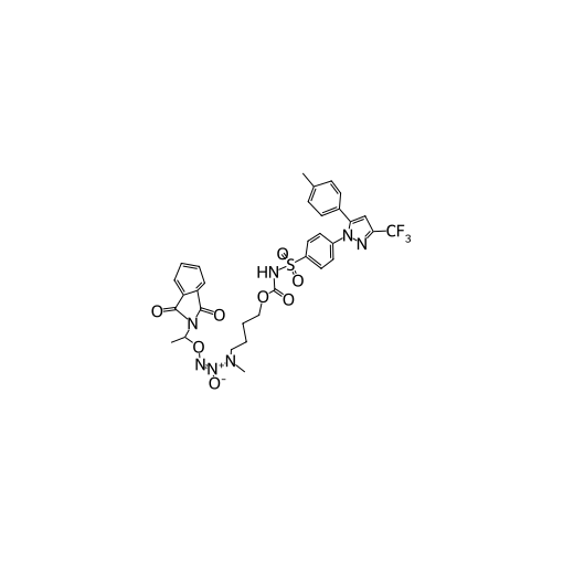 Cc1ccc(-c2cc(C(F)(F)F)nn2-c2ccc(S(=O)(=O)NC(=O)OCCCCN(C)/[N+]([O-])=N\OC(C)N3C(=O)c4ccccc4C3=O)cc2)cc1